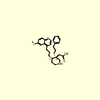 COc1ccc2nccc(CCC[C@@H]3CCNC[C@]3(CCCc3ccccc3)CC(=O)O)c2c1